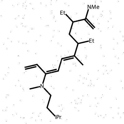 C=C/C(=C\C=C(/C)C(CC)CC(CC)C(=C)NC)N(C)CCC(C)C